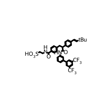 CC(C)(C)/C=C/c1ccc(C(Cc2ccc(C(=O)NCCS(=O)(=O)O)cc2)C(=O)Nc2cccc(-c3cc(C(F)(F)F)cc(C(F)(F)F)c3)c2)cc1